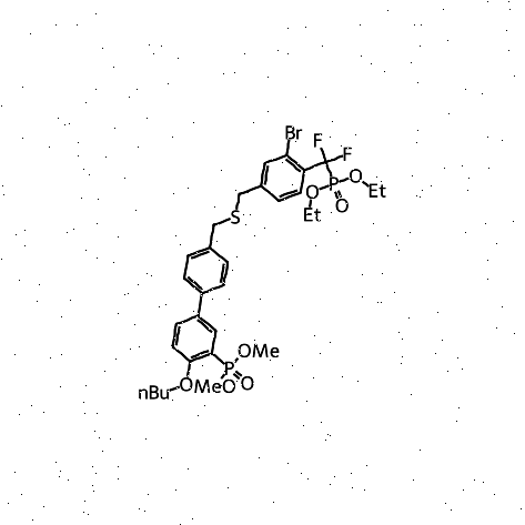 CCCCOc1ccc(-c2ccc(CSCc3ccc(C(F)(F)P(=O)(OCC)OCC)c(Br)c3)cc2)cc1P(=O)(OC)OC